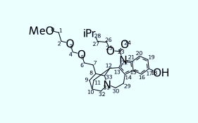 COCCOCOCCC1CC2CC3c4c(c5cc(O)ccc5n4C(=O)OCCC(C)C)CCN(C2)C13